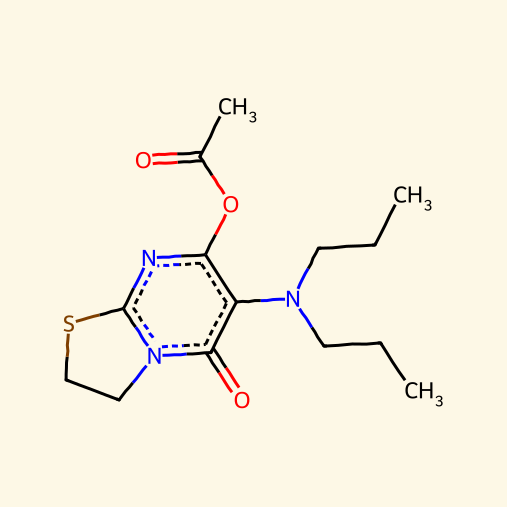 CCCN(CCC)c1c(OC(C)=O)nc2n(c1=O)CCS2